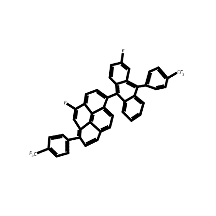 Fc1ccc2c(-c3ccc4c(F)cc5c(-c6ccc(C(F)(F)F)cc6)ccc6ccc3c4c65)c3ccccc3c(-c3ccc(C(F)(F)F)cc3)c2c1